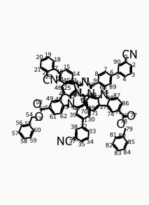 N#Cc1cccc(-c2ccc(-c3nc(-c4ccc(-c5ccccc5C#N)cc4)nc(-c4ccc(-c5cccc(C#N)c5)cc4-n4c5ccccc5c5cc(C(=O)OCc6ccccc6)ccc54)n3)c(-n3c4ccccc4c4cc(C(=O)OCc5ccccc5)ccc43)c2)c1